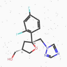 OC[C@H]1CO[C@@](Cn2cncn2)(c2ccc(F)cc2F)C1